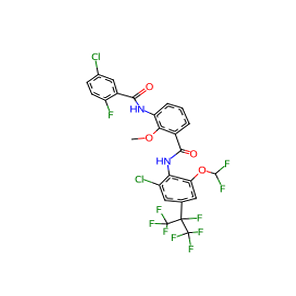 COc1c(NC(=O)c2cc(Cl)ccc2F)cccc1C(=O)Nc1c(Cl)cc(C(F)(C(F)(F)F)C(F)(F)F)cc1OC(F)F